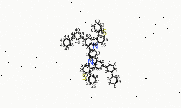 c1ccc(-c2cccc(-c3cc4c5cc6c(cc5n5c7ccc8sc9ccccc9c8c7c(c3)c45)c3cc(-c4cccc(-c5ccccc5)c4)cc4c5c7c(ccc5n6c34)sc3ccccc37)c2)cc1